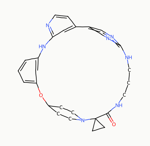 O=C1NCCCNc2ncc(cn2)-c2ccnc(c2)Nc2cccc(c2)OC2CCN(CC2)C12CC2